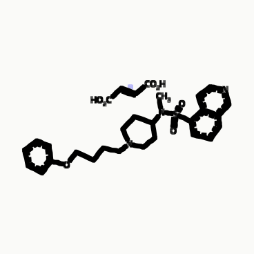 CN(C1CCN(CCCCOc2ccccc2)CC1)S(=O)(=O)c1cccc2cnccc12.O=C(O)/C=C/C(=O)O